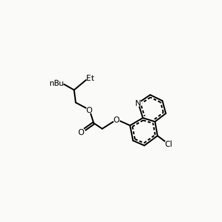 CCCCC(CC)COC(=O)COc1ccc(Cl)c2cccnc12